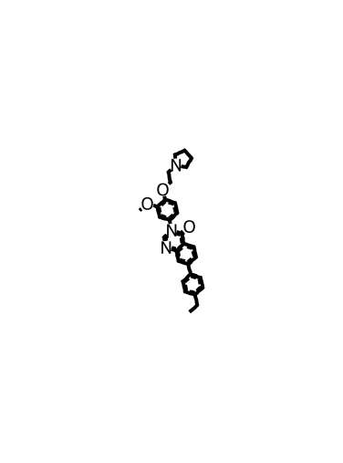 CCc1ccc(-c2ccc3c(=O)n(-c4ccc(OCCN5CCCC5)c(OC)c4)cnc3c2)cc1